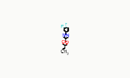 CCCC1COC(c2cnc(-c3ccc(F)c(F)c3)nc2)OC1